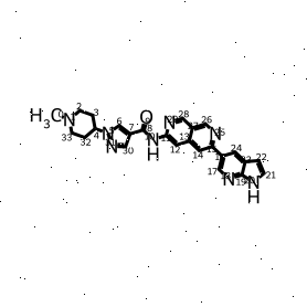 CN1CCC(n2cc(C(=O)Nc3cc4cc(-c5cnc6[nH]ccc6c5)ncc4cn3)cn2)CC1